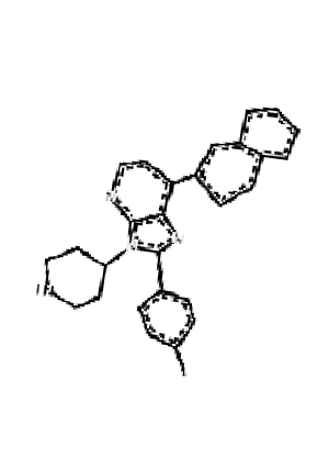 Cc1ccc(-c2nc3c(-c4ccc5ccccc5c4)ccnc3n2C2CCNCC2)cc1